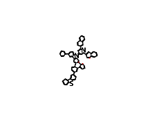 c1ccc(-c2ccc3c(c2)c2cc4c5ccc(-c6ccc7sc8ccccc8c7c6)cc5c5ccccc5c4cc2n3-c2cc(-c3ccc4ccccc4c3)nc(-c3ccc4ccccc4c3)c2)cc1